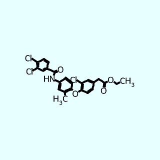 CCOC(=O)Cc1ccc(Oc2ccc(NC(=O)c3ccc(Cl)c(Cl)c3)cc2C)c(Cl)c1